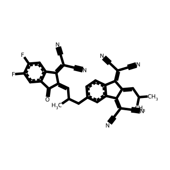 CC(C)/C=C1/C(=C(C#N)C#N)c2ccc(CC(C)/C=C3\C(=O)c4cc(F)c(F)cc4C3=C(C#N)C#N)cc2C1=C(C#N)C#N